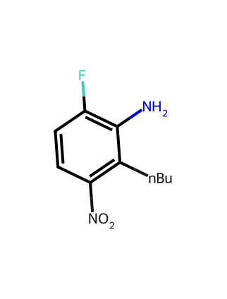 CCCCc1c([N+](=O)[O-])ccc(F)c1N